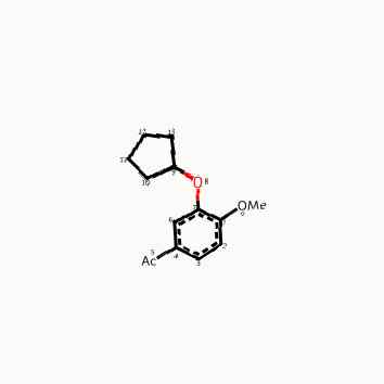 COc1ccc(C(C)=O)cc1OC1CCCC1